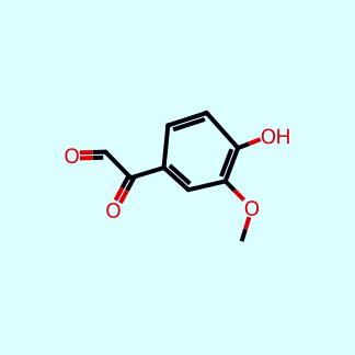 COc1cc(C(=O)C=O)ccc1O